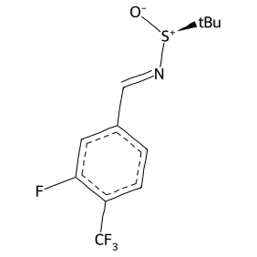 CC(C)(C)[S@+]([O-])/N=C/c1ccc(C(F)(F)F)c(F)c1